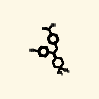 CC1(C)CCC(=C(Cc2ccc(C(=O)O)cc2)c2ccc(O)cc2)CC1